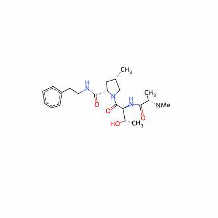 CN[C@@H](C)C(=O)N[C@H](C(=O)N1C[C@@H](C)C[C@H]1C(=O)NCCc1ccccc1)[C@H](C)O